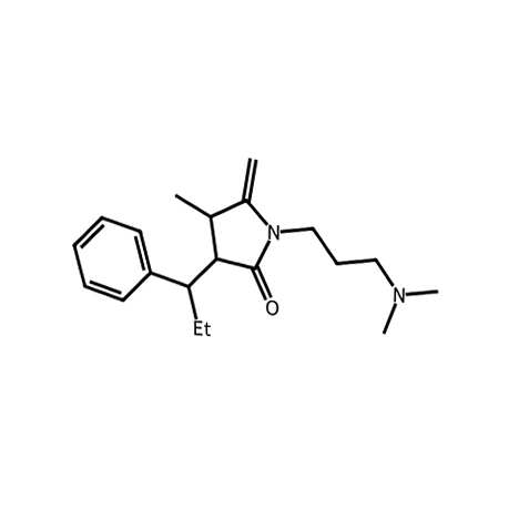 C=C1C(C)C(C(CC)c2ccccc2)C(=O)N1CCCN(C)C